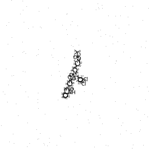 CC(C)(C)OC(=O)ON1CCC(C2CCN(C(=O)[C@@H](Cc3ccc(Cl)c(Cl)c3)OC(=O)N3CCC(N4CCc5ccccc5NC4=O)CC3)CC2)CC1